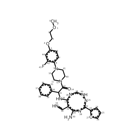 COCCOc1ccc(N2CCN(C(=O)C(Nc3nc[nH]nc(-c4ccco4)nc(N)c3C=N)c3ccccc3)CC2)c(F)c1